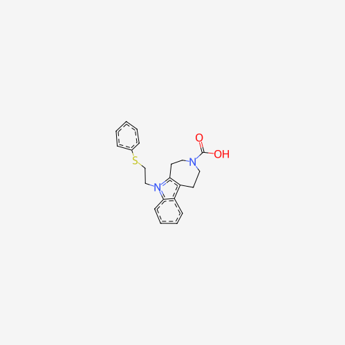 O=C(O)N1CCc2c(n(CCSc3ccccc3)c3ccccc23)CC1